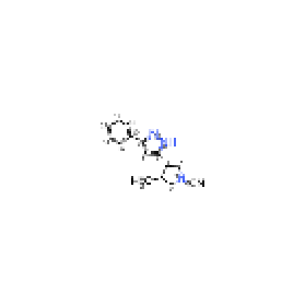 C[C@@H]1CN(C#N)C[C@H]1c1cc(-c2ccccc2)n[nH]1